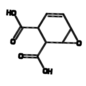 O=C(O)C1C=CC2OC2C1C(=O)O